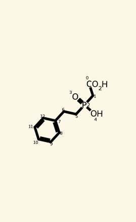 O=C(O)CP(=O)(O)CCc1ccccc1